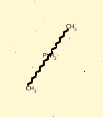 CCCCCCCCCCCCCCCCCCCCCC.[PbH2]